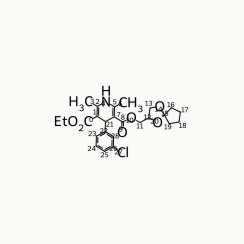 CCOC(=O)C1=C(C)NC(C)=C(C(=O)OCC2COC3(CCCC3)O2)C1c1cccc(Cl)c1